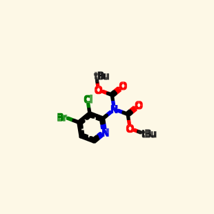 CC(C)(C)OC(=O)N(C(=O)OC(C)(C)C)c1nccc(Br)c1Cl